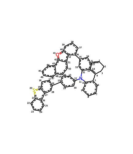 C1=CCCC(c2ccccc2N(c2ccc(-c3ccc4sc5ccccc5c4c3)cc2)c2cccc(-c3cccc4oc5c6ccccc6ccc5c34)c2)=C1